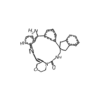 N/C1=c2/cc[nH]/c2=N/C=C2\COCCN2C(=O)NCC2(Cc3ccccc3C2)c2cccc1c2